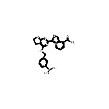 NC(=O)c1cccn2c(-c3nc(NCc4cccc(B(O)O)c4)c4c(n3)OCC4)ncc12